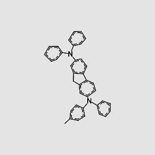 Cc1ccc(N(c2ccccc2)c2ccc3c(c2)Cc2cc(N(c4ccccc4)c4ccccc4)ccc2-3)cc1